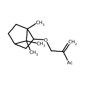 C=C(COC1CC2CCC1(C)C2(C)C)C(C)=O